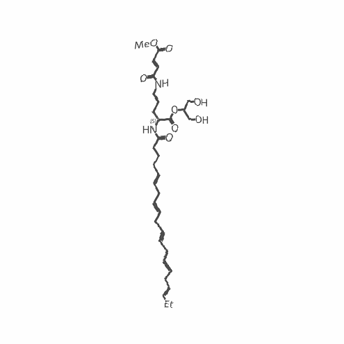 CCC=CCC=CCC=CCC=CCC=CCCCC(=O)N[C@@H](CCCNC(=O)C=CC(=O)OC)C(=O)OC(CO)CO